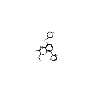 CCC(C)/C(C)=N\c1c(OC2CCOC2)ccc(-c2nccs2)c1C